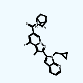 Cc1c(-c2cc3cccnc3n2CC2CC2)nn2cc(C(=O)N3CC4CCC3[C@@H]4N)cc(F)c12